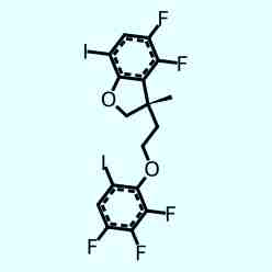 C[C@@]1(CCOc2c(I)cc(F)c(F)c2F)COc2c(I)cc(F)c(F)c21